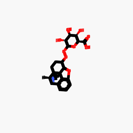 O=C(O)[C@H]1OC(OOC2CC[C@H]3[C@H]4Cc5cccc6c5[C@@]3(CCN4)C2O6)[C@H](O)[C@@H](O)[C@@H]1O